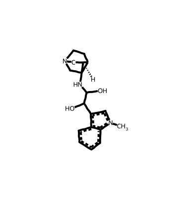 Cn1cc(C(O)C(O)N[C@H]2CN3CCC2CC3)c2ccccc21